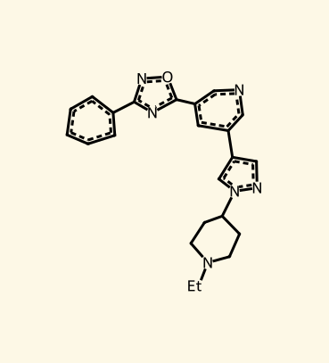 CCN1CCC(n2cc(-c3cncc(-c4nc(-c5ccccc5)no4)c3)cn2)CC1